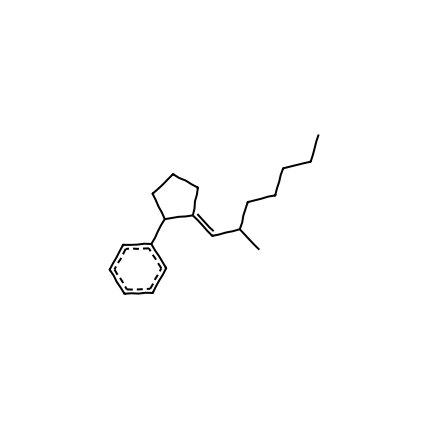 CCCCCC(C)C=C1CCCC1c1ccccc1